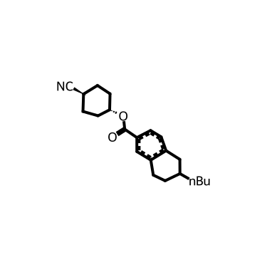 CCCCC1CCc2cc(C(=O)O[C@H]3CC[C@H](C#N)CC3)ccc2C1